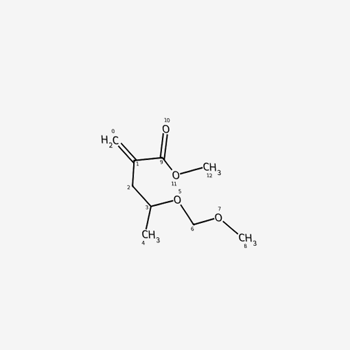 C=C(CC(C)OCOC)C(=O)OC